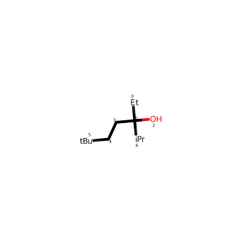 CCC(O)(CCC(C)(C)C)C(C)C